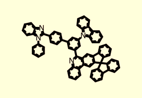 c1ccc(-n2c(-c3ccc(-c4cc(-c5nc6ccccc6c6cc7c(cc56)-c5ccccc5C75c6ccccc6-c6ccccc65)cc(-n5c6ccccc6c6ccccc65)c4)cc3)nc3ccccc32)cc1